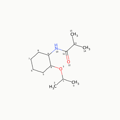 CC(C)OC1CCCCC1NC(=O)C(C)C